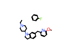 CCN1CCC(N2CCc3ccc(Cc4cccc(OC)n4)cc32)CC1.Fc1ccccc1